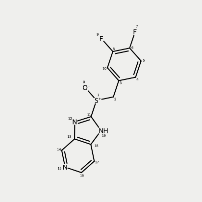 [O-][S+](Cc1ccc(F)c(F)c1)c1nc2cnccc2[nH]1